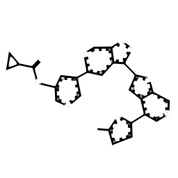 O=C(Nc1cncc(-c2cc3c(-c4cc5c(-c6ccc(F)s6)cncc5[nH]4)n[nH]c3cn2)c1)C1CC1